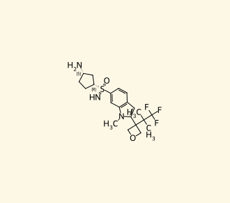 Cn1c(C2(C(C)(C)C(F)(F)F)COC2)cc2ccc(S(=N)(=O)[C@@H]3CC[C@H](N)C3)cc21